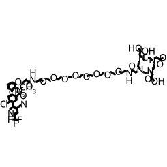 Cc1cccc(OCCC(=O)NCCOCCOCCOCCOCCOCCOCCOCCOCCNC(=O)CN2CCN(CC(=O)O)CCN(CC(=O)O)CCN(CC(O)O)CC2)c1N(C)C(=O)c1ccc(Cl)c(-c2cnc(C(F)(F)F)cc2C#N)c1